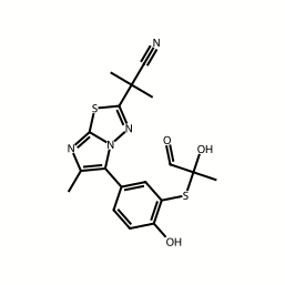 Cc1nc2sc(C(C)(C)C#N)nn2c1-c1ccc(O)c(SC(C)(O)C=O)c1